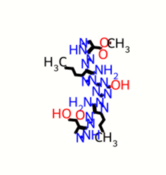 CCCCc1nn(-c2nc(O)nc(-n3nc(CCCC)c(/N=N/c4[nH]ncc4C(=O)OC)c3N)n2)c(N)c1/N=N/c1[nH]ncc1C(=O)CO